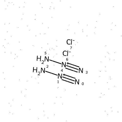 N#[N+]N.N#[N+]N.[Cl-].[Cl-]